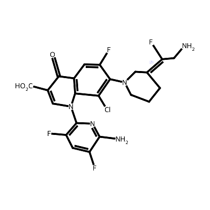 NC/C(F)=C1\CCCN(c2c(F)cc3c(=O)c(C(=O)O)cn(-c4nc(N)c(F)cc4F)c3c2Cl)C1